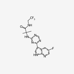 CC(C)(Nc1ncnc(-c2c[nH]c3ncc(F)cc23)n1)C(=O)NCC(F)(F)F